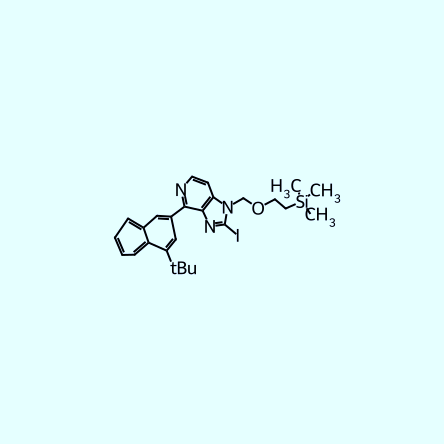 CC(C)(C)c1cc(-c2nccc3c2nc(I)n3COCC[Si](C)(C)C)cc2ccccc12